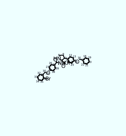 O=C(N[C@]1(C(=O)O)NCCC1c1ccc(OCc2ccccc2)cc1)c1ccc(OCc2ccccc2Br)cc1